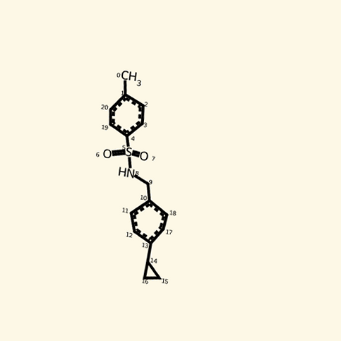 Cc1ccc(S(=O)(=O)NCc2ccc(C3CC3)cc2)cc1